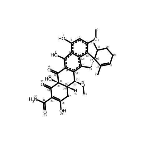 COc1cc(O)c2c(O)c3c(c4c2c1[C@]1(C4)C(C)=CCCC1C)[C@@H](OC)[C@@H]1CC(O)=C(C(N)=O)C(=O)[C@]1(O)C3=O